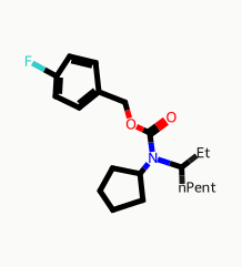 CCCCCC(CC)N(C(=O)OCc1ccc(F)cc1)C1CCCC1